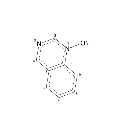 [O-][n+]1[c]ncc2ccccc21